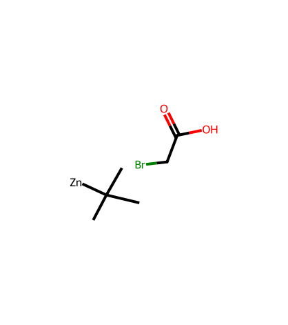 C[C](C)(C)[Zn].O=C(O)CBr